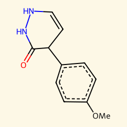 COc1ccc(C2C=CNNC2=O)cc1